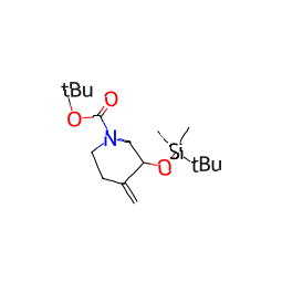 C=C1CCN(C(=O)OC(C)(C)C)CC1O[Si](C)(C)C(C)(C)C